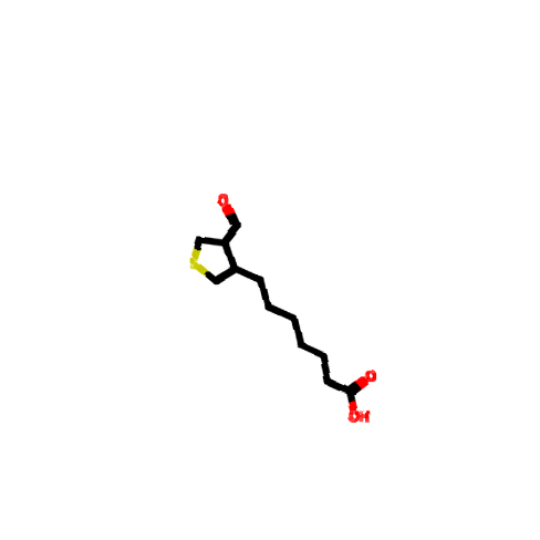 O=CC1CSCC1CCCCCCC(=O)O